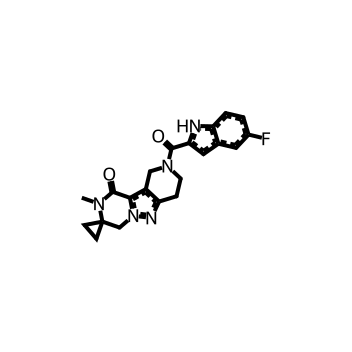 CN1C(=O)c2c3c(nn2CC12CC2)CCN(C(=O)c1cc2cc(F)ccc2[nH]1)C3